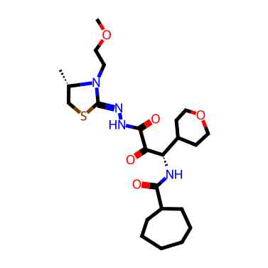 COCCN1/C(=N/NC(=O)C(=O)[C@@H](NC(=O)C2CCCCCC2)C2CCOCC2)SC[C@@H]1C